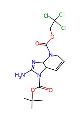 CC(C)(C)OC(=O)N1C(N)=NC2C1C=CCN2C(=O)OCC(Cl)(Cl)Cl